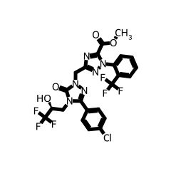 COC(=O)c1nc(Cn2nc(-c3ccc(Cl)cc3)n(C[C@H](O)C(F)(F)F)c2=O)nn1-c1ccccc1C(F)(F)F